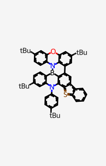 CC(C)(C)c1ccc(N2c3cc(C(C)(C)C)ccc3B3c4c(cc5c(sc6ccccc65)c42)-c2cc(C(C)(C)C)cc4c2N3c2ccc(C(C)(C)C)cc2O4)cc1